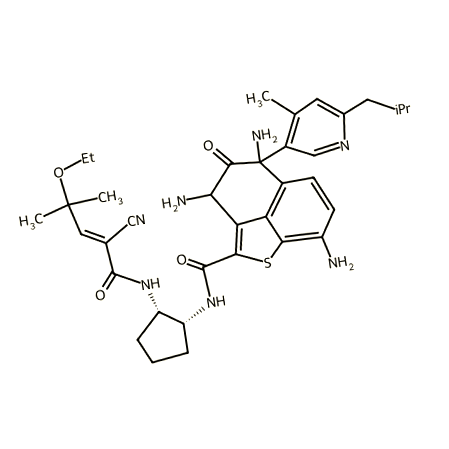 CCOC(C)(C)/C=C(\C#N)C(=O)N[C@H]1CCC[C@H]1NC(=O)c1sc2c(N)ccc3c2c1C(N)C(=O)C3(N)c1cnc(CC(C)C)cc1C